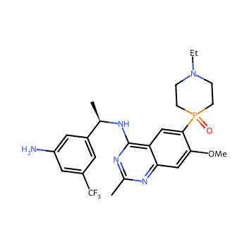 CCN1CCP(=O)(c2cc3c(N[C@H](C)c4cc(N)cc(C(F)(F)F)c4)nc(C)nc3cc2OC)CC1